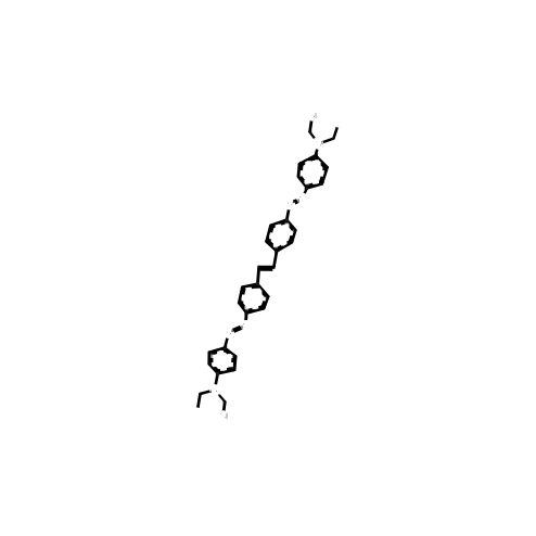 CCN(CN)c1ccc(/N=N/c2ccc(/C=C/c3ccc(/N=N/c4ccc(N(CC)CN)cc4)cc3)cc2)cc1